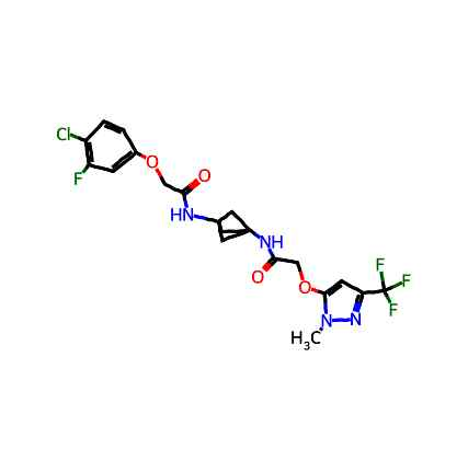 Cn1nc(C(F)(F)F)cc1OCC(=O)NC12CC(NC(=O)COc3ccc(Cl)c(F)c3)(C1)C2